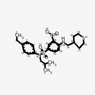 CCc1ccc(N(CC(C)C)S(=O)(=O)c2ccc(NCC3CCSCC3)c([N+](=O)[O-])c2)cc1